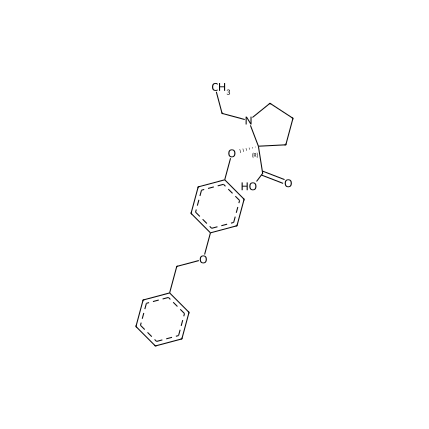 CCN1CCC[C@@]1(Oc1ccc(OCc2ccccc2)cc1)C(=O)O